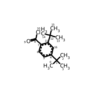 CC(C)(C)c1ccc(C(=O)Cl)c(C(C)(C)C)c1